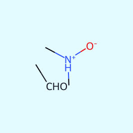 CC=O.C[NH+](C)[O-]